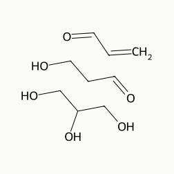 C=CC=O.O=CCCO.OCC(O)CO